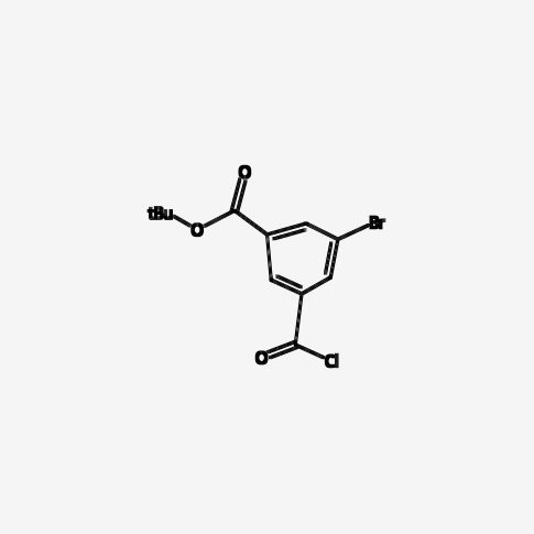 CC(C)(C)OC(=O)c1cc(Br)cc(C(=O)Cl)c1